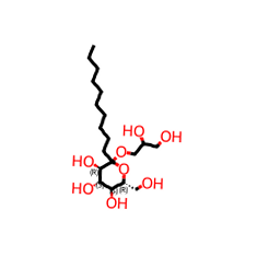 CCCCCCCCCCC1(OCC(O)CO)O[C@H](CO)[C@@H](O)[C@H](O)[C@H]1O